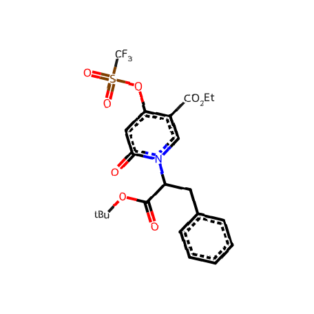 CCOC(=O)c1cn(C(Cc2ccccc2)C(=O)OC(C)(C)C)c(=O)cc1OS(=O)(=O)C(F)(F)F